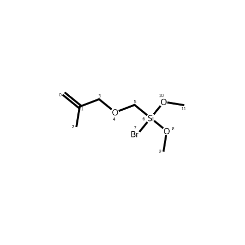 C=C(C)COC[Si](Br)(OC)OC